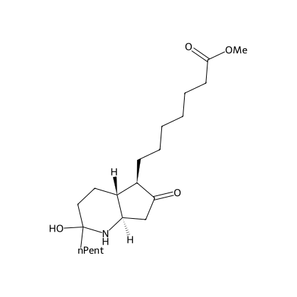 CCCCCC1(O)CC[C@H]2[C@@H](CC(=O)[C@@H]2CCCCCCC(=O)OC)N1